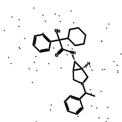 CC(c1ccccc1)N1CC2[C@H](C1)[C@H]2NC(=O)C(O)(c1ccccc1)C1CCCCC1